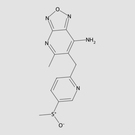 Cc1nc2nonc2c(N)c1Cc1ccc([S+](C)[O-])cn1